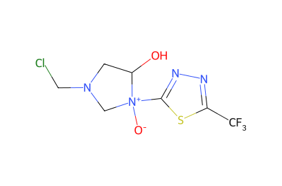 [O-][N+]1(c2nnc(C(F)(F)F)s2)CN(CCl)CC1O